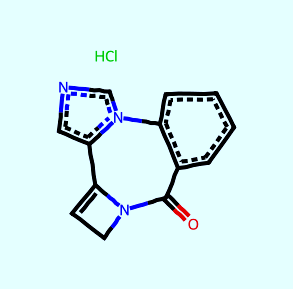 Cl.O=C1c2ccccc2-n2cncc2C2=CCN12